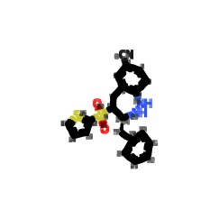 N#Cc1ccc2c(c1)CC(S(=O)(=O)c1cccs1)[C@@H](Cc1ccccc1)NN2